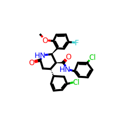 COc1ccc(F)cc1[C@@H]1NC(=O)C[C@@H](C2C=CC=C(Cl)C2)[C@@H]1C(=O)Nc1cccc(Cl)c1